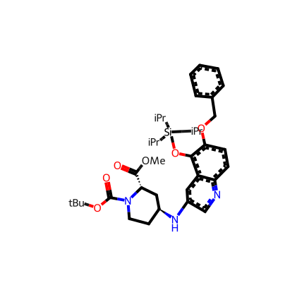 COC(=O)[C@@H]1C[C@@H](Nc2cnc3ccc(OCc4ccccc4)c(O[Si](C(C)C)(C(C)C)C(C)C)c3c2)CCN1C(=O)OC(C)(C)C